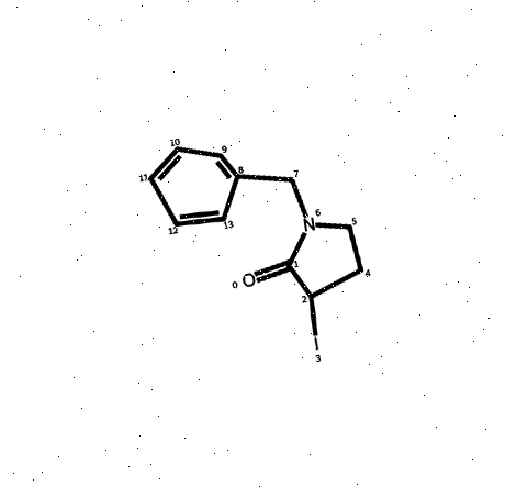 O=C1C(I)CCN1Cc1ccccc1